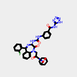 O=C(Nc1cccc(C(=O)Nc2nnn[nH]2)c1)N[C@@H]1N=C(c2ccccc2F)c2ccccc2N(CC(=O)N2CC3CCC(CC3)C2)C1=O